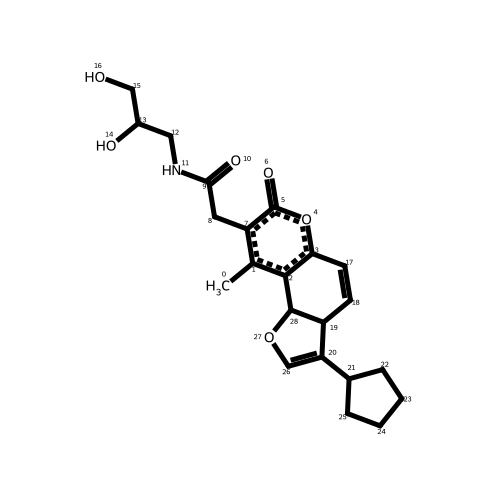 Cc1c2c(oc(=O)c1CC(=O)NCC(O)CO)C=CC1C(C3CCCC3)=COC21